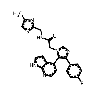 Cc1csc(CNC(=O)Cn2cnc(-c3ccc(F)cc3)c2-c2ccnc3[nH]ccc23)n1